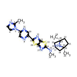 Cc1nccn1-c1cnc(-c2nc3sc(N(C)[C@H]4C[C@]5(C)CC[C@](C)(C4)N5)nc3s2)cn1